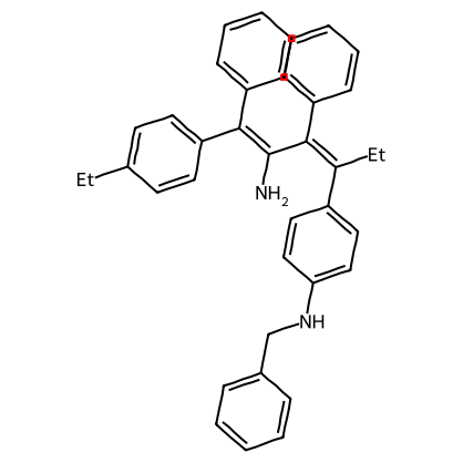 CCC(=C(C(N)=C(c1ccccc1)c1ccc(CC)cc1)c1ccccc1)c1ccc(NCc2ccccc2)cc1